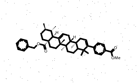 COC(=O)c1ccc(C2=CC[C@@]3(C)C(CC[C@]4(C)[C@@H]3CC=C3[C@@H]5[C@@H](C)[C@H](C)CC[C@]5(C(=O)OCc5ccccc5)CC[C@]34C)C2(C)C)cc1